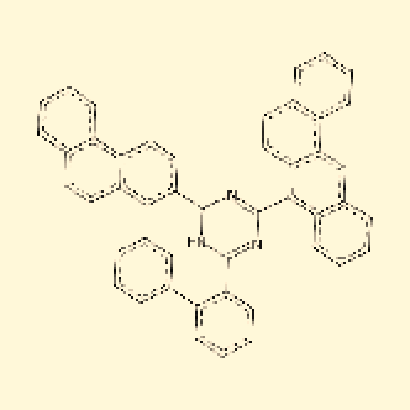 c1ccc(-c2ccccc2C2=NC(c3c4ccccc4cc4c3ccc3ccccc34)=NC(c3ccc4c(ccc5ccccc54)c3)N2)cc1